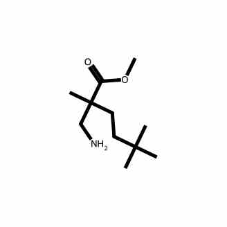 COC(=O)C(C)(CN)CCC(C)(C)C